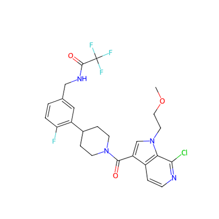 COCCn1cc(C(=O)N2CCC(c3cc(CNC(=O)C(F)(F)F)ccc3F)CC2)c2ccnc(Cl)c21